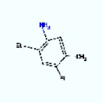 CCc1cc(CC)c(N)cc1C